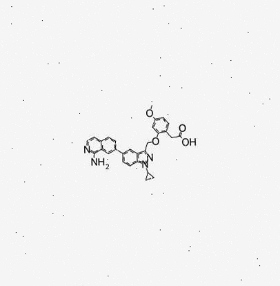 COc1ccc(CC(=O)O)c(OCc2nn(C3CC3)c3ccc(-c4ccc5ccnc(N)c5c4)cc23)c1